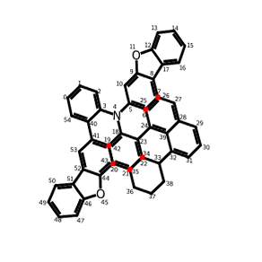 c1ccc(N(c2ccc3c(c2)oc2ccccc23)c2ccccc2-c2cccc3cccc(C4CCCCC4)c23)c(-c2ccc3oc4ccccc4c3c2)c1